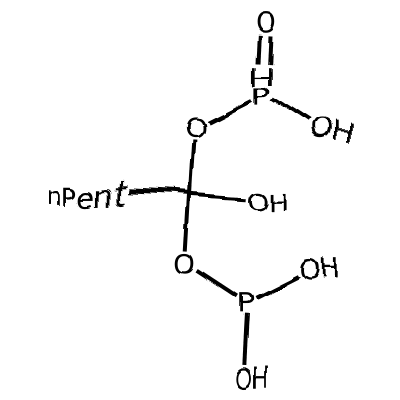 CCCCCC(O)(OP(O)O)O[PH](=O)O